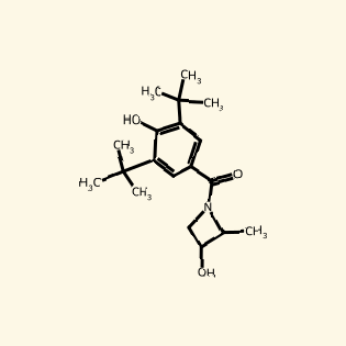 CC1C(O)CN1C(=O)c1cc(C(C)(C)C)c(O)c(C(C)(C)C)c1